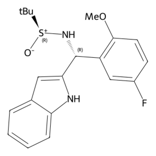 COc1ccc(F)cc1[C@@H](N[S@@+]([O-])C(C)(C)C)c1cc2ccccc2[nH]1